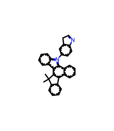 CC1(C)c2ccccc2-c2c1c1c3ccccc3n(-c3ccc4c(c3)CC=N4)c1c1ccccc21